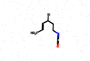 CCC(C=CC(=O)O)CCN=C=O